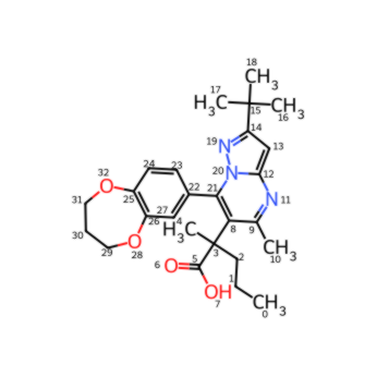 CCCC(C)(C(=O)O)c1c(C)nc2cc(C(C)(C)C)nn2c1-c1ccc2c(c1)OCCCO2